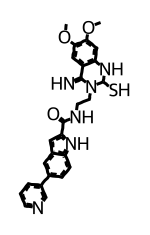 COc1cc2c(cc1OC)C(=N)N(CCNC(=O)c1cc3cc(-c4cccnc4)ccc3[nH]1)C(S)N2